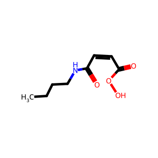 CCCCNC(=O)/C=C\C(=O)OO